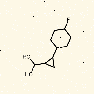 OC(O)C1CC1C1CCC(F)CC1